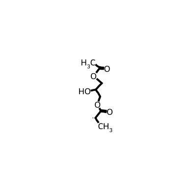 C[CH]C(=O)OCC(O)COC(C)=O